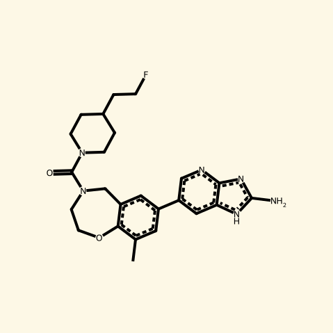 Cc1cc(-c2cnc3nc(N)[nH]c3c2)cc2c1OCCN(C(=O)N1CCC(CCF)CC1)C2